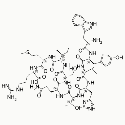 CC[C@H](C)[C@H](NC(=O)[C@H](CO)NC(=O)[C@H](CCC(N)=O)NC(=O)[C@@H](NC(=O)[C@H](Cc1c[nH]cn1)NC(=O)[C@@H](NC(=O)[C@H](Cc1ccc(O)cc1)NC(=O)[C@@H](N)Cc1c[nH]c2ccccc12)C(C)C)[C@@H](C)O)C(=O)N[C@@H](CCSC)C(=O)N[C@@H](CCCNC(=N)N)C(=O)O